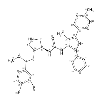 COC(C[C@@H]1CNC[C@H]1NC(=O)Nc1c(C)c(-c2cnc(C)nc2)nn1-c1ccccc1)c1ccc(F)c(F)c1